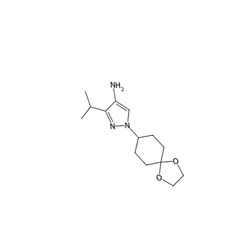 CC(C)c1nn(C2CCC3(CC2)OCCO3)cc1N